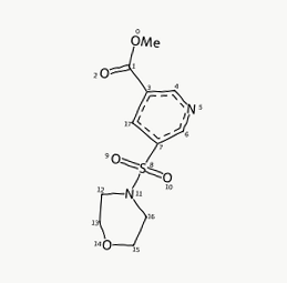 COC(=O)c1cncc(S(=O)(=O)N2CCOCC2)c1